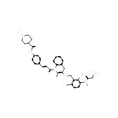 CC(=O)N1CCC(C(=O)Nc2ccc(C=CC(=O)N3C(C)=C(OCc4c(Cl)ccc(N(C)C(=O)CN)c4Cl)Cc4ccccc43)cc2)CC1